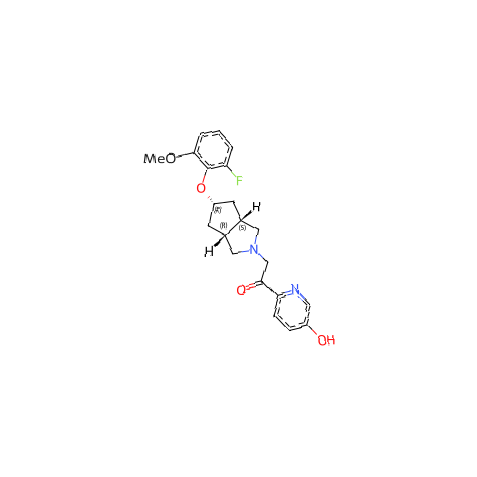 COc1cccc(F)c1O[C@@H]1C[C@@H]2CN(CC(=O)c3ccc(O)cn3)C[C@@H]2C1